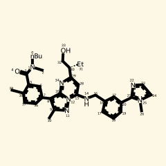 CCCCN(C)C(=O)c1cc(-c2c(C)nn3c(NCc4cccc(-c5nccn5C)c4)cc([C@@H](CC)CO)nc23)ccc1C